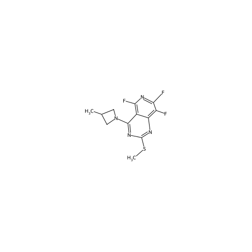 CSc1nc(N2CC(C)C2)c2c(F)nc(F)c(F)c2n1